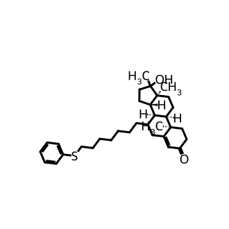 CC1(O)CC[C@H]2[C@@H]3C(CCCCCCCSc4ccccc4)CC4=CC(=O)CC[C@]4(C)[C@@H]3CC[C@@]21C